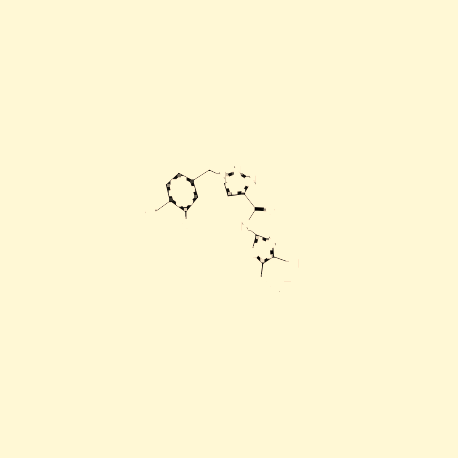 Cc1nc(NC(=O)c2cn(Cc3ccc(Cl)c(Cl)c3)nn2)sc1C(=O)O